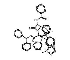 C[C@@H](O[C@@H]1[C@@H](NC(=O)c2ccccc2)C(=O)N1C(C(=O)OC(c1ccccc1)c1ccccc1)=P(c1ccccc1)(c1ccccc1)c1ccccc1)C(=O)CSc1nnnn1C